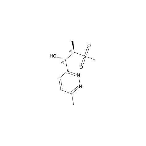 Cc1ccc([C@H](O)[C@@H](C)S(C)(=O)=O)nn1